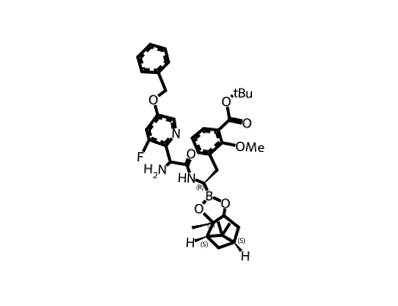 COc1c(C[C@H](NC(=O)C(N)c2ncc(OCc3ccccc3)cc2F)B2OC3C[C@@H]4C[C@@H](C4(C)C)[C@]3(C)O2)cccc1C(=O)OC(C)(C)C